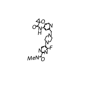 CNC(=O)c1ncc(N2CCN(Cc3cc4c(cn3)OC3(CC3)C(=O)N4)CC2)c(F)n1